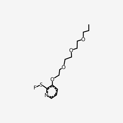 CCCOCCOCCOCCOc1cccnc1SF